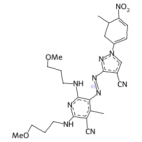 COCCCNc1nc(NCCCOC)c(/N=N/c2nn(C3=CC=C([N+](=O)[O-])C(C)C3)cc2C#N)c(C)c1C#N